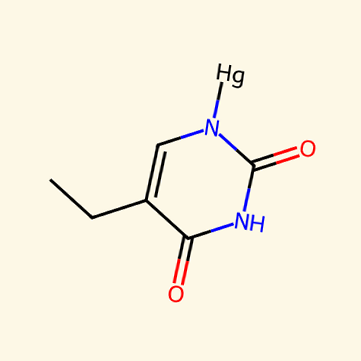 CCc1c[n]([Hg])c(=O)[nH]c1=O